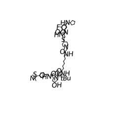 Cc1ncsc1-c1ccc(CNC(=O)C2CC(O)CN2C(=O)[C@@H](NC(=O)CCCCCCNC(=O)CN2CCC(SCc3nc4cc(NC5CCCC5)cc(F)c4c(=O)[nH]3)CC2)C(C)(C)C)cc1